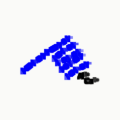 [Al+3].[Ga+3].[N-]=[N+]=[N-].[N-]=[N+]=[N-].[N-]=[N+]=[N-].[N-]=[N+]=[N-].[N-]=[N+]=[N-].[N-]=[N+]=[N-]